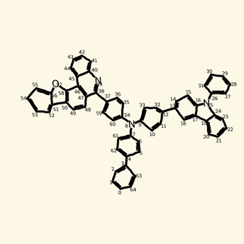 c1ccc(-c2ccc(N(c3ccc(-c4ccc5c(c4)c4ccccc4n5-c4ccccc4)cc3)c3ccc(-c4nc5ccccc5c5c4ccc4c6ccccc6oc45)cc3)cc2)cc1